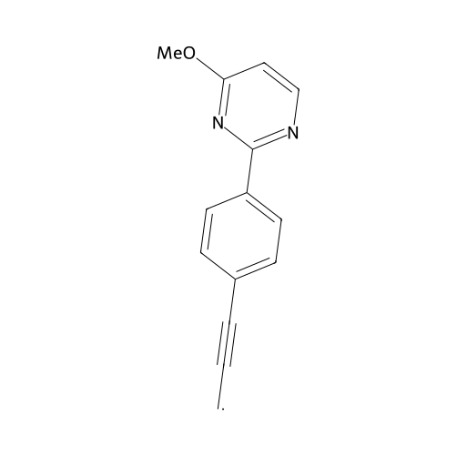 [CH2]C#Cc1ccc(-c2nccc(OC)n2)cc1